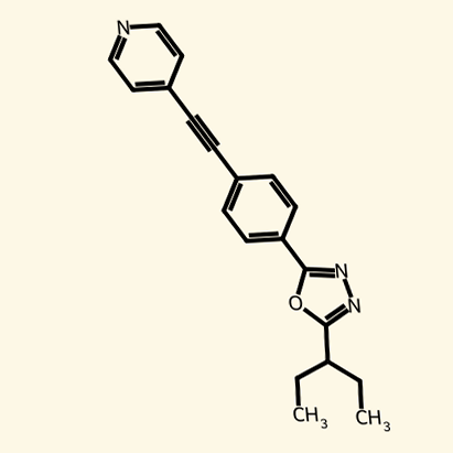 CCC(CC)c1nnc(-c2ccc(C#Cc3ccncc3)cc2)o1